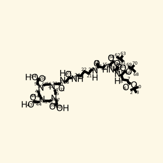 CC(C)(C)OC(=O)CCC(NC(=O)N[C@H](CCC(=O)NCCCCCNC(=O)CNC(=O)CN1CCN(CC(=O)O)CCN(CC(=O)O)CCN(CC(=O)O)CC1)C(=O)OC(C)(C)C)C(=O)OC(C)(C)C